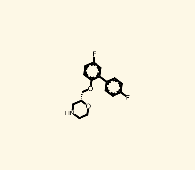 Fc1ccc(-c2cc(F)ccc2OC[C@H]2CNCCO2)cc1